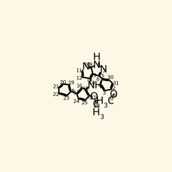 COc1ccc(-c2n[nH]c3nccc(Nc4cc(-c5ccccc5)ccc4OC)c23)cc1